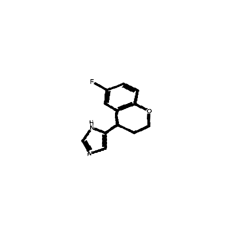 Fc1ccc2c(c1)C(c1cnc[nH]1)CCO2